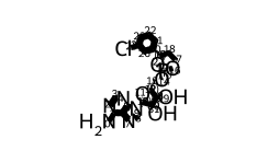 Nc1ncnc2c1ncn2[C@@H]1O[C@H](CO[P@]2OCC[C@@H](c3cccc(Cl)c3)O2)[C@@H](O)[C@H]1O